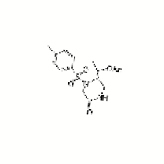 CC(=O)OC(C)C1CNC(=O)CN1S(=O)(=O)c1ccc(C)cc1